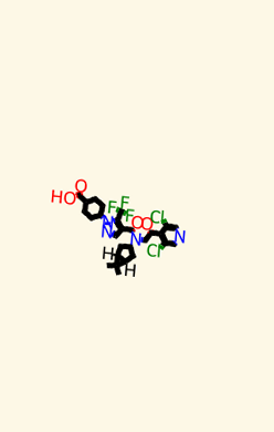 CC1(C)[C@@H]2C[C@H](N(CC(=O)c3c(Cl)cncc3Cl)C(=O)c3cnn(C4CCC(C(=O)O)CC4)c3C(F)(F)F)C[C@@H]21